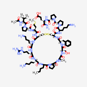 CCCCC1NC(=O)[C@H](CCCCN)NC(=O)[C@H](CCCNC(=N)N)NC(=O)[C@H](CCCCN)NC(=O)C(NC(=O)[C@H](CCSC)NC(=O)[C@@H]2CCCN2C(=O)[C@@H](NC(C)=O)C(C)C)CCSSC[C@@H](C(=O)NC(CCCCN)C(=O)N2CCC[C@H]2C(=O)N2CCC[C@H]2C(=O)N[C@@H](CCC(=O)O)C(N)=O)NC(=O)[C@H](Cc2ccccc2)NC(=O)[C@H](CO)NC(=O)C(C)NC(=O)[C@@H]2CCCN2C1=O